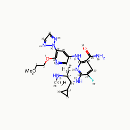 COCCOc1ncc(Nc2nc(N[C@H](C3CC3)[C@H](C)NC(=O)O)c(F)cc2C(N)=O)cc1-n1nccn1